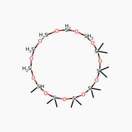 C[SiH]1O[SiH2]O[SiH2]O[SiH2]O[SiH2]O[SiH2]O[Si](C)(C)O[Si](C)(C)O[Si](C)(C)O[Si](C)(C)O[Si](C)(C)O1